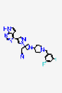 N#CCC1(n2cc(-c3ncnc4[nH]ccc34)cn2)CN(C2CCN(Cc3cc(F)cc(F)c3)CC2)C1